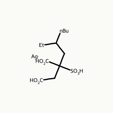 CCCCC(CC)CC(CC(=O)O)(C(=O)O)S(=O)(=O)O.[Ag]